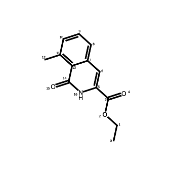 CCOC(=O)c1cc2cccc(C)c2c(=O)[nH]1